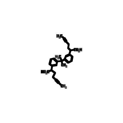 CC#CCCC(C(=O)O)c1cccc(C(C)(C)c2cccc(C(CCC#CC)C(=O)O)c2)c1